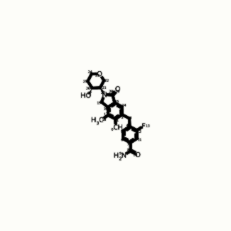 Cc1c(Cc2ccc(C(N)=O)cc2F)cc2c(c1C)CN([C@@H]1COCC[C@H]1O)C2=O